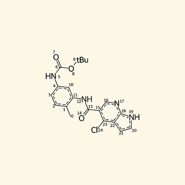 Cc1ccc(NC(=O)OC(C)(C)C)cc1NC(=O)c1cnc2[nH]ccc2c1Cl